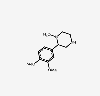 COc1ccc(C2CNCCN2C)cc1OC